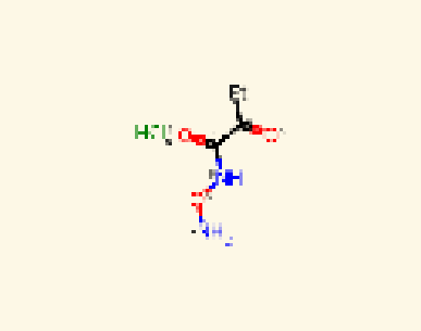 CCC(=O)C(=O)NON.Cl